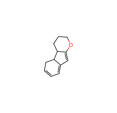 C1=CCC2C(=C1)C=C1OCCCC12